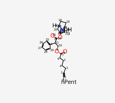 CCCCCC#CCCCCC(=O)OCC(C(=O)O[C@H]1C[C@H]2CC[C@@H](C1)N2C)c1ccccc1